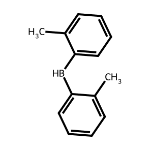 Cc1ccccc1Bc1ccccc1C